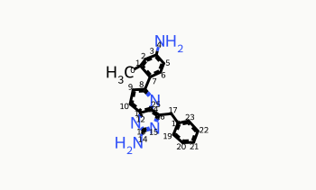 Cc1cc(N)ccc1-c1ccc2nc(N)nc(Cc3ccccc3)c2n1